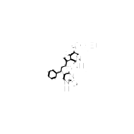 CCOC(=O)Oc1cnc(N)c2c(C(CCc3ccccc3)Oc3cc[nH]c(=O)n3)csc12